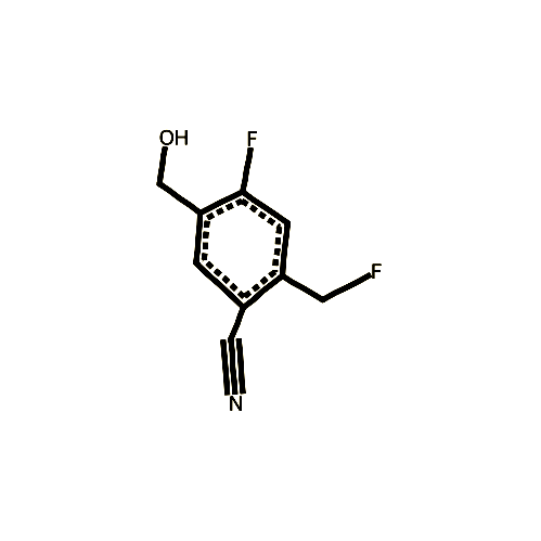 N#Cc1cc(CO)c(F)cc1CF